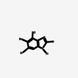 CCn1c(Br)nc2c(N=O)c(Br)c(Br)cc21